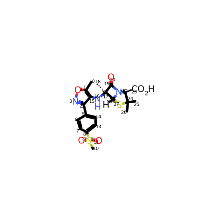 Cc1onc(-c2ccc(S(C)(=O)=O)cc2)c1N[C@@]1(C)C(=O)N2[C@@H](C(=O)O)C(C)(C)S[C@@H]21